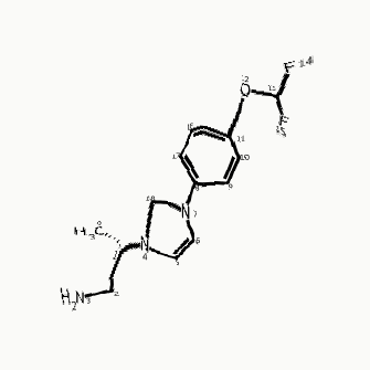 C[C@@H](CN)N1C=CN(c2ccc(OC(F)F)cc2)C1